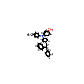 Cc1ccc(N(c2ccc(O)cc2)c2ccc(C=C(c3ccccc3)c3ccccc3)cc2)cc1